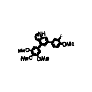 COc1ccc(-c2cc(-c3cc(OC)c(OC)c(OC)c3)c3cc[nH]c3c2)cc1F